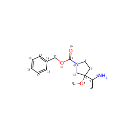 COC1(C(C)N)CCN(C(=O)OCc2ccccc2)C1